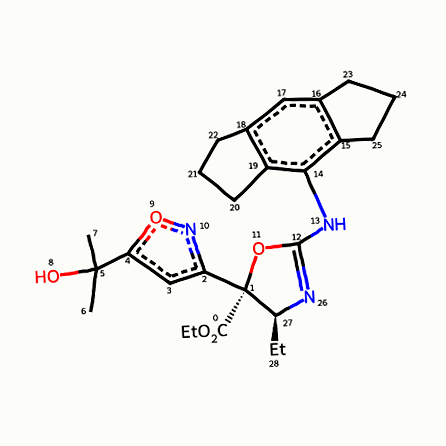 CCOC(=O)[C@]1(c2cc(C(C)(C)O)on2)OC(Nc2c3c(cc4c2CCC4)CCC3)=N[C@H]1CC